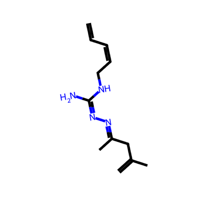 C=C/C=C\CN/C(N)=N\N=C(/C)CC(=C)C